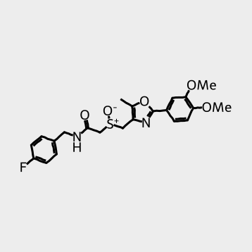 COc1ccc(-c2nc(C[S+]([O-])CC(=O)NCc3ccc(F)cc3)c(C)o2)cc1OC